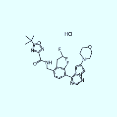 CC(C)(C)c1nc(C(=O)NCc2ccc(-c3ncnn4cc(N5CCOCC5)cc34)c(F)c2CC(F)F)no1.Cl